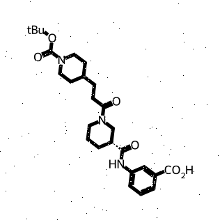 CC(C)(C)OC(=O)N1CCC(CCC(=O)N2CCC[C@@H](C(=O)Nc3cccc(C(=O)O)c3)C2)CC1